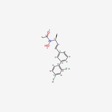 CC(=O)N(O)[C@@H](C)/C=C/c1cccc(-c2ccc(F)cc2F)c1